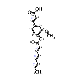 C/C=C/C=C/C=C/C(=O)Oc1ccc(/C=C/C(=O)O)cc1OC